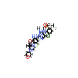 CP(C)(=O)c1ccccc1Nc1nc(Nc2cc(F)c3c(c2)OC[C@H]2CN(C4CCOCC4)CCN32)ncc1Cl